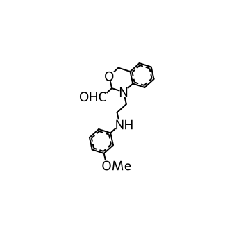 COc1cccc(NCCN2c3ccccc3COC2C=O)c1